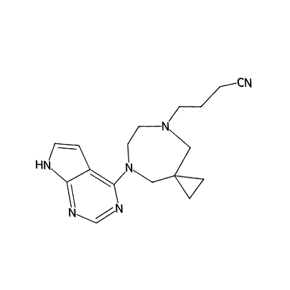 N#CCCCN1CCN(c2ncnc3[nH]ccc23)CC2(CC2)C1